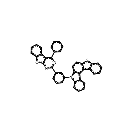 c1ccc(-c2nc(-c3cccc(-n4c5ccccc5c5c6c(ccc54)sc4ccccc46)c3)nc3oc4ccccc4c23)cc1